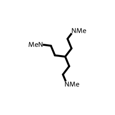 CNCCC(CCNC)CCNC